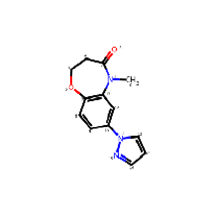 CN1C(=O)CCOc2ccc(-n3cccn3)cc21